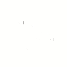 COC(=O)c1cccn1-c1cc(Br)cc(F)c1N